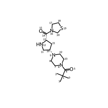 CC(C)(C)C(=O)N1CCN([C@@H]2CN[C@H](C(=O)N3CCSC3)C2)CC1